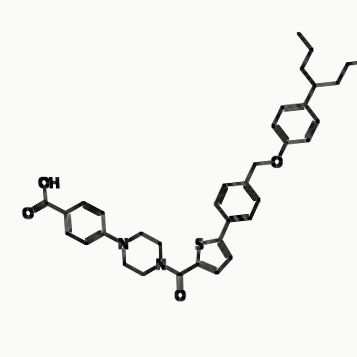 CCCC(CCC)c1ccc(OCc2ccc(-c3ccc(C(=O)N4CCN(c5ccc(C(=O)O)cc5)CC4)s3)cc2)cc1